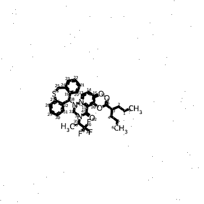 CCCC(CCC)C(=O)Oc1c2n(ccc1=O)N([C@H]1c3ccccc3CSc3ccccc31)CN([C@H](C)C(F)(F)F)C2=O